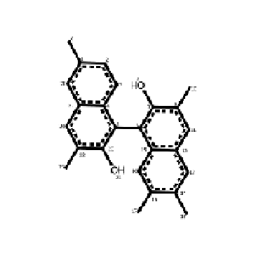 Cc1ccc2c(-c3c(O)c(C)cc4cc(C)c(C)cc34)c(O)c(C)cc2c1